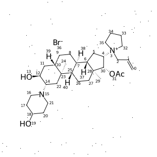 C=CC[N+]1([C@H]2C[C@H]3[C@@H]4CC[C@H]5C[C@H](O)[C@@H](N6CCC(O)CC6)C[C@]5(C)[C@H]4CC[C@]3(C)[C@H]2OC(C)=O)CCCC1.[Br-]